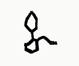 N#CCc1cccnc1N1CCOCC1